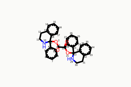 O=C(OC1(c2ccccc2)NCCc2ccccc21)C(=O)OC1(c2ccccc2)NCCc2ccccc21